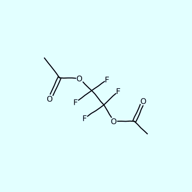 CC(=O)OC(F)(F)C(F)(F)OC(C)=O